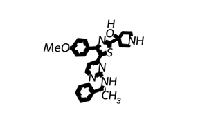 COc1ccc(-c2nc(C3(O)CCNCC3)sc2-c2ccnc(N[C@@H](C)c3ccccc3)n2)cc1